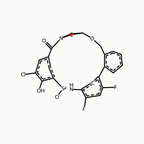 O=C1c2cc(Cl)c(O)c(c2)[S+]([O-])Nc2cc(c(F)cc2F)-c2ccccc2COC2CN1C2